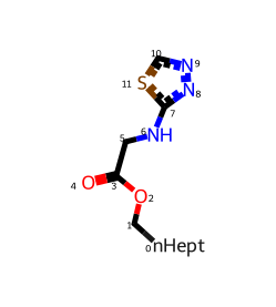 CCCCCCCCOC(=O)CNc1nncs1